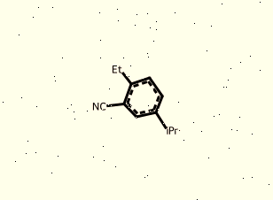 CCc1ccc([C](C)C)cc1C#N